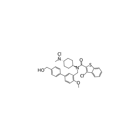 COc1ccc(-c2ccc(CO)cc2)cc1CN(C(=O)c1sc2ccccc2c1Cl)[C@H]1CC[C@H](N(C)Cl)CC1